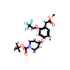 COC(=O)Cc1cc(F)c(OC2CCN(C(=O)OC(C)(C)C)CC2)cc1OCC(F)(F)F